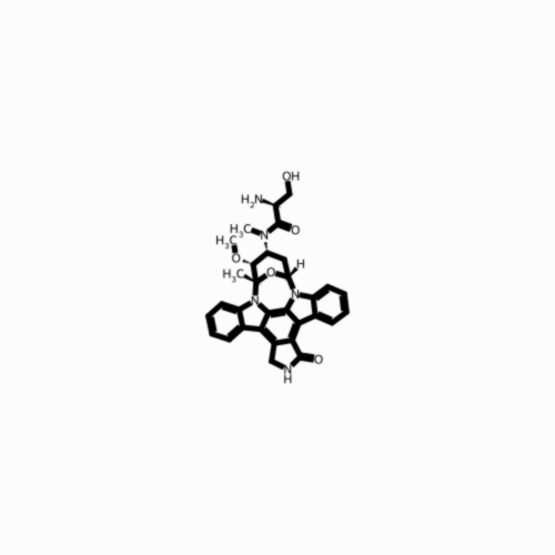 CO[C@@H]1[C@H](N(C)C(=O)[C@@H](N)CO)C[C@H]2O[C@]1(C)n1c3ccccc3c3c4c(c5c6ccccc6n2c5c31)C(=O)NC4